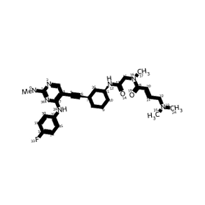 CNc1ncc(C#C[C@@H]2CCC[C@H](NC(=O)CN(C)C(=O)/C=C/CN(C)C)C2)c(Nc2ccc(F)cc2)n1